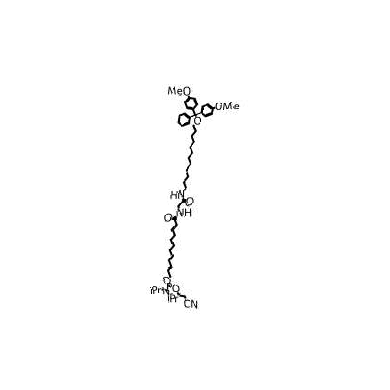 COc1ccc(C(OCCCCCCCCCCCCNC(=O)CNC(=O)CCCCCCCCCCCOP(OCCC#N)N(C(C)C)C(C)C)(c2ccccc2)c2ccc(OC)cc2)cc1